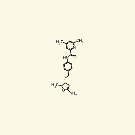 Cc1cc(C)nc(C(=O)Nc2ccc(CC[C@@H]3N=C(N)O[C@H]3C)cc2)c1